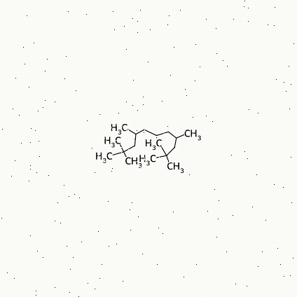 CC(C[CH]CC(C)CC(C)(C)C)CC(C)(C)C